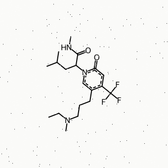 CCN(C)CCCc1cn(C(CC(C)C)C(=O)NC)c(=O)cc1C(F)(F)F